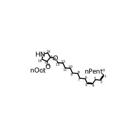 CCCCC/C=C\C/C=C\CCCCCCCCOC1CNC[C@H]1OCCCCCCCC